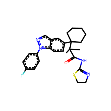 CC(C)(C(=O)NC1=NCCS1)C1(c2ccc3c(cnn3-c3ccc(F)cc3)c2)CCCCC1